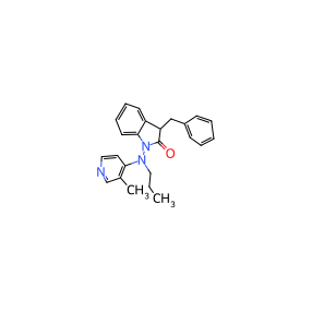 CCCN(c1ccncc1C)N1C(=O)C(Cc2ccccc2)c2ccccc21